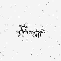 CCNCC(O)COc1cccc2c1CC=C2